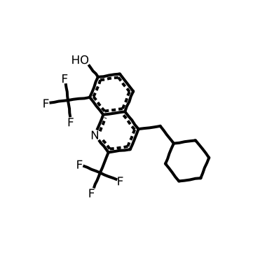 Oc1ccc2c(CC3CCCCC3)cc(C(F)(F)F)nc2c1C(F)(F)F